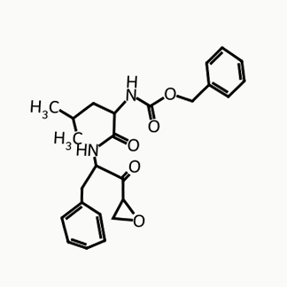 CC(C)CC(NC(=O)OCc1ccccc1)C(=O)NC(Cc1ccccc1)C(=O)C1CO1